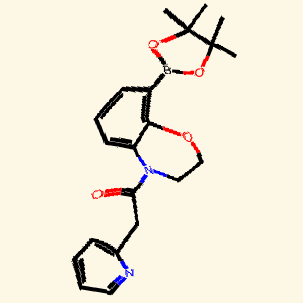 CC1(C)OB(c2cccc3c2OCCN3C(=O)Cc2ccccn2)OC1(C)C